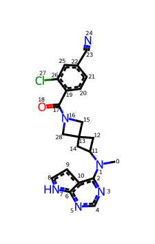 CN(c1ncnc2[nH]ccc12)C1CC2(C1)CN(C(=O)c1ccc(C#N)cc1Cl)C2